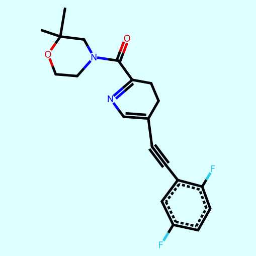 CC1(C)CN(C(=O)C2=NC=C(C#Cc3cc(F)ccc3F)CC2)CCO1